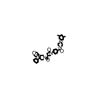 Cc1cc(C)cc(N2CCN(C(=O)c3ccc(N4CC(C(=O)N5CCC(c6ccccc6)(N6CCOCC6)CC5)CC4=O)cc3)CC2)c1